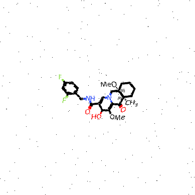 COC1=C2C(=O)[C@]3(C)CCCC[C@]3(OC)CN2C=C(C(=O)NCc2ccc(F)cc2F)C1O